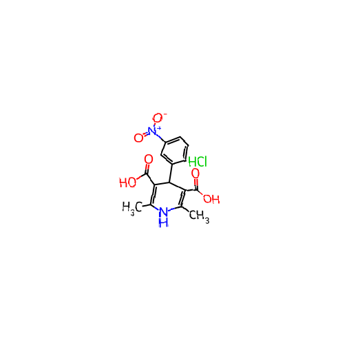 CC1=C(C(=O)O)C(c2cccc([N+](=O)[O-])c2)C(C(=O)O)=C(C)N1.Cl